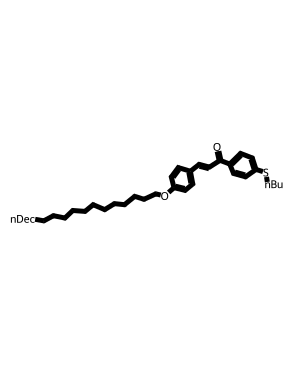 CCCCCCCCCCCCCCCCCCCCCCOc1ccc(C=CC(=O)c2ccc(SCCCC)cc2)cc1